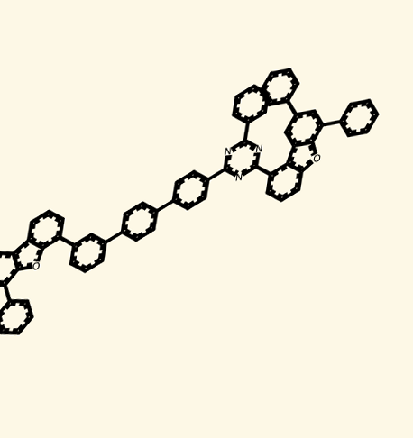 c1ccc(-c2cc(-c3ccccc3)c3oc4cccc(-c5nc(-c6ccccc6)nc(-c6ccc(-c7ccc(-c8cccc(-c9cccc%10c9oc9c(-c%11ccccc%11)cccc9%10)c8)cc7)cc6)n5)c4c3c2)cc1